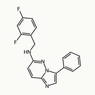 Fc1ccc(CNc2ccc3ncc(-c4ccccc4)n3n2)c(F)c1